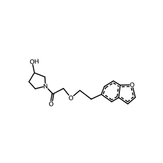 O=C(COCCc1ccc2occc2c1)N1CCC(O)C1